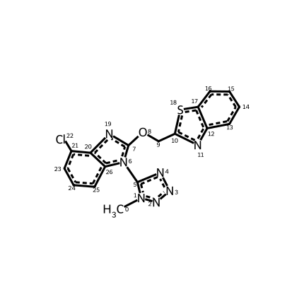 Cn1nnnc1-n1c(OCc2nc3ccccc3s2)nc2c(Cl)cccc21